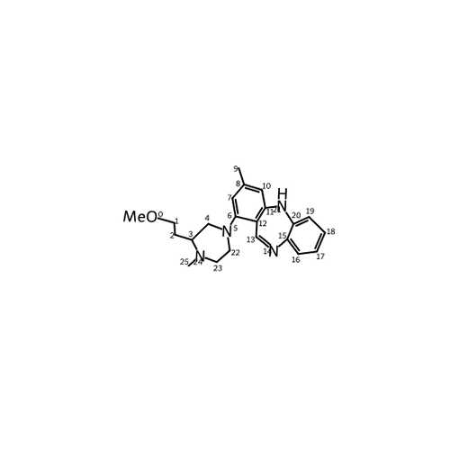 COCCC1CN(c2cc(C)cc3c2C=Nc2ccccc2N3)CCN1C